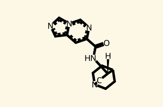 O=C(N[C@H]1CN2CCC1CC2)c1cc2cncn2cn1